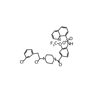 O=C(c1ccc(NS(=O)(=O)c2cccc3cccnc23)c(OC(F)(F)F)c1)N1CCN(C(Cl)Cc2cccc(Cl)c2)CC1